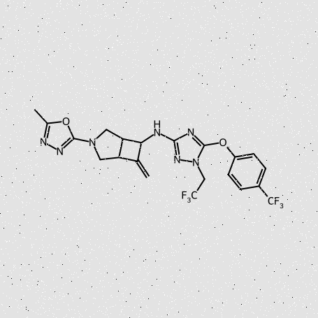 C=C1C2CN(c3nnc(C)o3)CC2C1Nc1nc(Oc2ccc(C(F)(F)F)cc2)n(CC(F)(F)F)n1